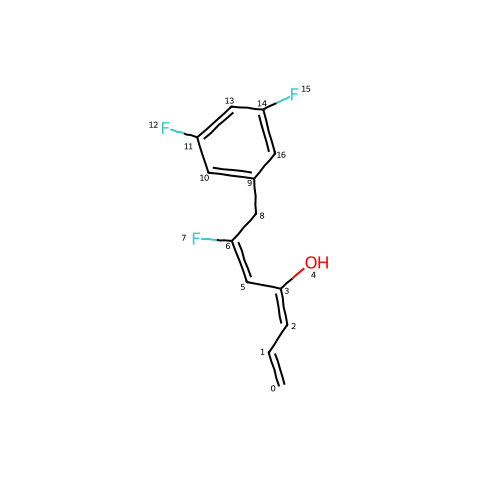 C=C/C=C(O)\C=C(\F)Cc1cc(F)cc(F)c1